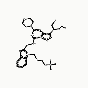 C[Si](C)(C)CCOCn1c(CNc2nc(N3CCOCC3)nc3c(C(CF)CCF)cnn23)nc2ccccc21